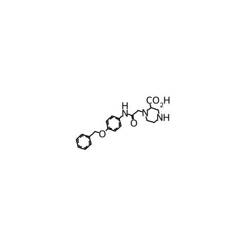 O=C(CN1CCNCC1C(=O)O)Nc1ccc(OCc2ccccc2)cc1